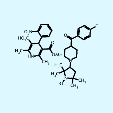 CC1(C)CC(N2CCC(C(=O)c3ccc(F)cc3)CC2)C(C)(C)N1[O].COC(=O)C1=C(C)NC(C)=C(C(=O)O)C1c1ccccc1[N+](=O)[O-]